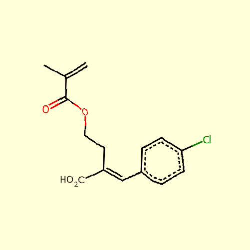 C=C(C)C(=O)OCC/C(=C\c1ccc(Cl)cc1)C(=O)O